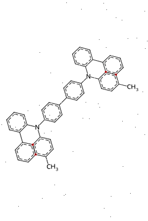 Cc1ccc(N(c2ccc(-c3ccc(N(c4ccc(C)cc4)c4ccccc4-c4ccccc4)cc3)cc2)c2ccccc2-c2ccccc2)cc1